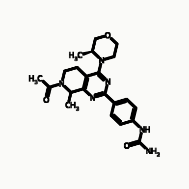 CC(=O)N1CCc2c(nc(-c3ccc(NC(N)=O)cc3)nc2N2CCOC[C@@H]2C)C1C